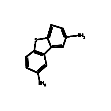 Bc1ccc2sc3ccc(B)cc3c2c1